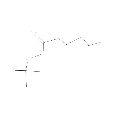 CCCCCC(=O)OOC(C)(C)C